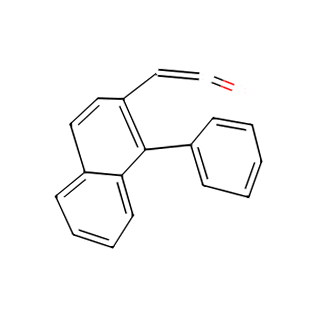 O=C=Cc1ccc2ccccc2c1-c1ccccc1